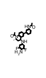 CC(=O)Nc1cccc(-c2ccc3c(c2)[C@H](Nc2cc(F)c(N)c(F)c2)C[C@H](C)N3C(C)=O)c1